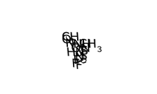 COc1ccc(NC(=O)c2c(C)nsc2Nc2nc3c(C(F)(F)F)cccc3s2)cn1